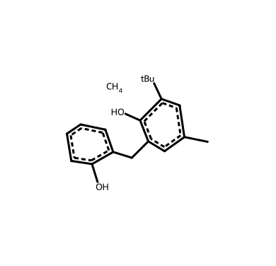 C.Cc1cc(Cc2ccccc2O)c(O)c(C(C)(C)C)c1